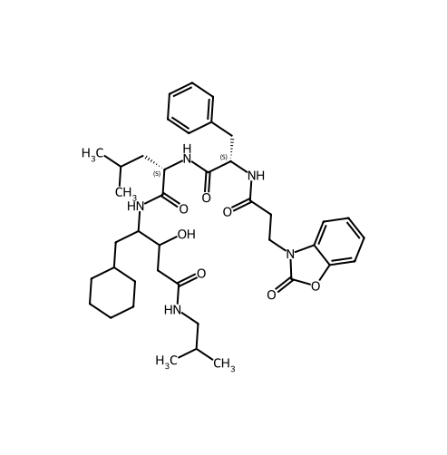 CC(C)CNC(=O)CC(O)C(CC1CCCCC1)NC(=O)[C@H](CC(C)C)NC(=O)[C@H](Cc1ccccc1)NC(=O)CCn1c(=O)oc2ccccc21